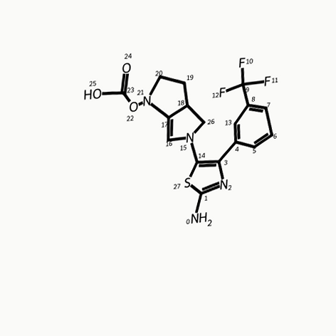 Nc1nc(-c2cccc(C(F)(F)F)c2)c(N2C=C3C(CCN3OC(=O)O)C2)s1